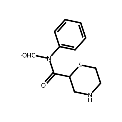 O=[C]N(C(=O)C1CNCCS1)c1ccccc1